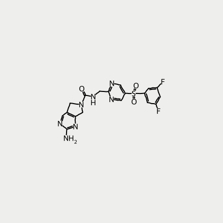 Nc1ncc2c(n1)CN(C(=O)NCc1ncc(S(=O)(=O)c3cc(F)cc(F)c3)cn1)C2